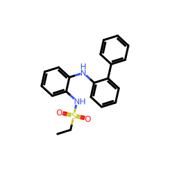 CCS(=O)(=O)Nc1ccccc1Nc1ccccc1-c1ccccc1